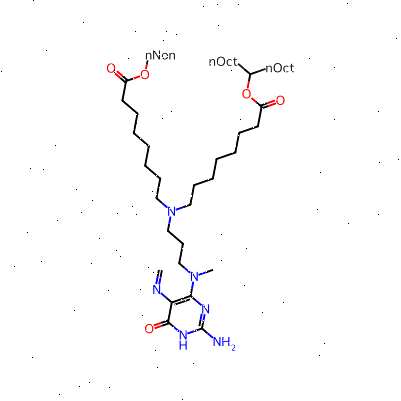 C=Nc1c(N(C)CCCN(CCCCCCCC(=O)OCCCCCCCCC)CCCCCCCC(=O)OC(CCCCCCCC)CCCCCCCC)nc(N)[nH]c1=O